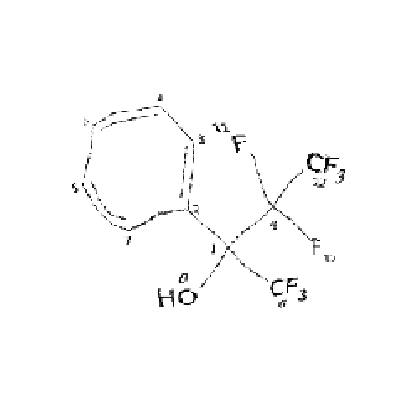 OC(c1ccccc1)(C(F)(F)F)C(F)(F)C(F)(F)F